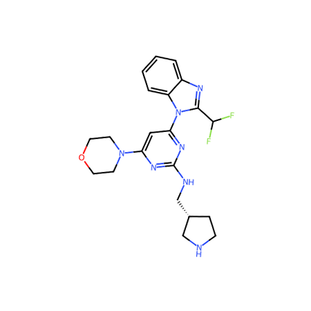 FC(F)c1nc2ccccc2n1-c1cc(N2CCOCC2)nc(NC[C@@H]2CCNC2)n1